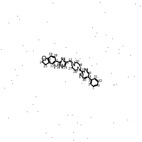 c1ccc(-c2cnc(N3CCN(Cc4c[nH]c(-c5ccc6c(c5)CCO6)n4)CC3)nc2)cc1